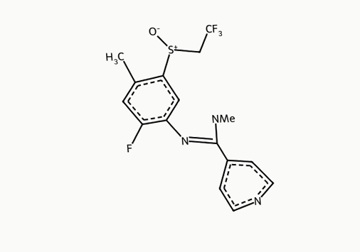 CN/C(=N\c1cc([S+]([O-])CC(F)(F)F)c(C)cc1F)c1ccncc1